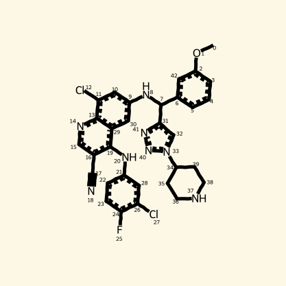 COc1cccc(C(Nc2cc(Cl)c3ncc(C#N)c(Nc4ccc(F)c(Cl)c4)c3c2)c2cn(C3CCNCC3)nn2)c1